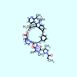 C=CC(=O)N1C[C@@H](C)[C@H](C(=O)N(C)C(C(=O)N[C@H]2Cc3cccc(c3)-c3ccc4c(c3)c(c(-c3cccnc3[C@H](C)OC)n4CC)CC(C)(C)COC(=O)[C@@H]3CCCN(N3)C2=O)C(C)C)C1